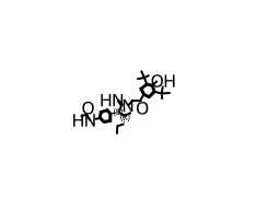 CCC[C@H]1CN(CC(=O)c2cc(C(C)(C)C)c(O)c(C(C)(C)C)c2)C(=N)[C@@H]1c1ccc(NC(C)=O)cc1